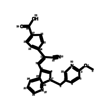 COc1ccc(Cn2cc(C=C(C#N)c3ccc(C(=O)O)cc3)c3cccnc32)cn1